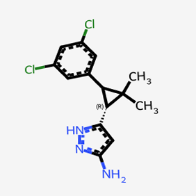 CC1(C)C(c2cc(Cl)cc(Cl)c2)[C@H]1c1cc(N)n[nH]1